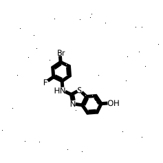 Oc1ccc2nc(Nc3ccc(Br)cc3F)sc2c1